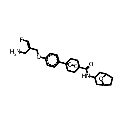 NC/C(=C\F)COc1ccc(C23CCC(C(=O)NC4CC5CCC(C4)O5)(CC2)CC3)cc1